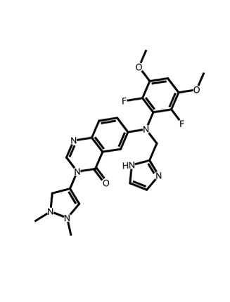 COc1cc(OC)c(F)c(N(Cc2ncc[nH]2)c2ccc3ncn(C4=CN(C)N(C)C4)c(=O)c3c2)c1F